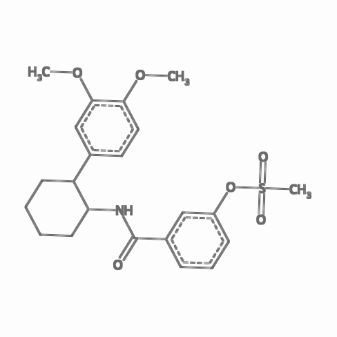 COc1ccc(C2CCCCC2NC(=O)c2cccc(OS(C)(=O)=O)c2)cc1OC